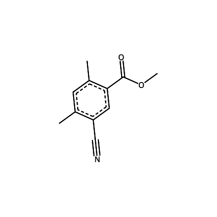 COC(=O)c1cc(C#N)c(C)cc1C